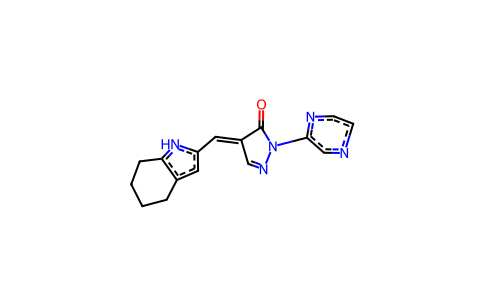 O=C1C(=Cc2cc3c([nH]2)CCCC3)C=NN1c1cnccn1